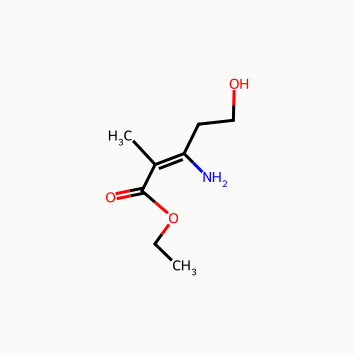 CCOC(=O)C(C)=C(N)CCO